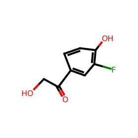 O=C(CO)c1ccc(O)c(F)c1